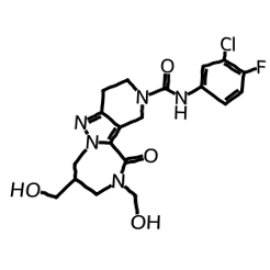 O=C(Nc1ccc(F)c(Cl)c1)N1CCc2nn3c(c2C1)C(=O)N(CO)CC(CO)C3